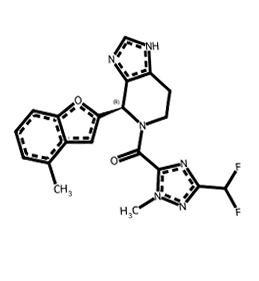 Cc1cccc2oc([C@H]3c4nc[nH]c4CCN3C(=O)c3nc(C(F)F)nn3C)cc12